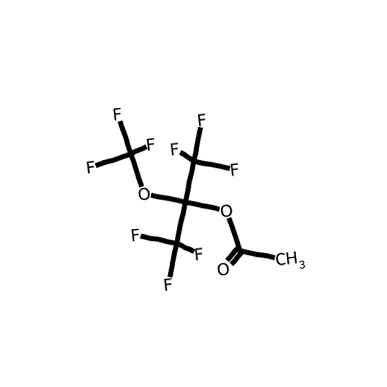 CC(=O)OC(OC(F)(F)F)(C(F)(F)F)C(F)(F)F